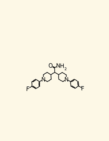 NC(=O)C(C1CCN(c2ccc(F)cc2)CC1)C1CCN(c2ccc(F)cc2)CC1